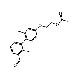 CC(=O)OCCOc1ccc(-c2cccc(C=O)c2C)c(C)c1